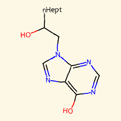 CCCCCCCC(O)Cn1cnc2c(O)ncnc21